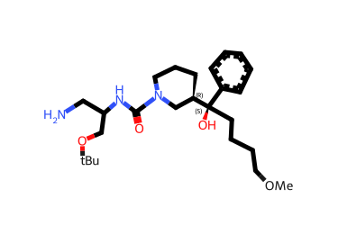 COCCCC[C@@](O)(c1ccccc1)[C@@H]1CCCN(C(=O)NC(CN)COC(C)(C)C)C1